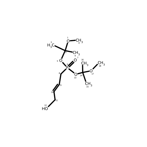 COC(C)(C)OP(=O)(C/C=C/CO)OC(C)(C)OC